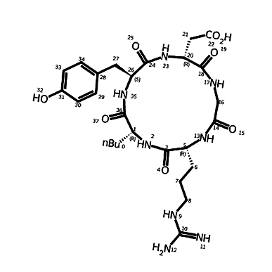 CCCC[C@H]1NC(=O)[C@@H](CCCNC(=N)N)NC(=O)CNC(=O)[C@@H](CC(=O)O)NC(=O)[C@H](Cc2ccc(O)cc2)NC1=O